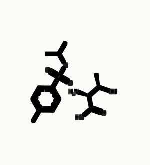 C[C@@H](O)[C@H](N)C(=O)O.Cc1ccc(S(=O)(=O)OC(C)C)cc1